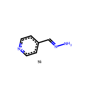 NN=Cc1ccncc1.[Ni]